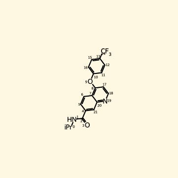 CC(C)NC(=O)c1ccc2c(Oc3ccc(C(F)(F)F)cc3)ccnc2c1